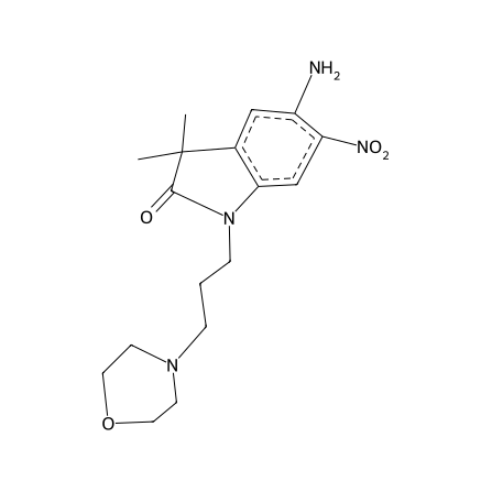 CC1(C)C(=O)N(CCCN2CCOCC2)c2cc([N+](=O)[O-])c(N)cc21